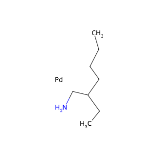 CCCCC(CC)CN.[Pd]